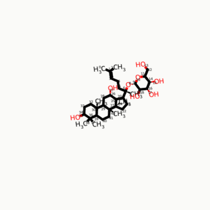 CC(C)=CCC[C@](C)(O[C@@H]1OC(CO)[C@@H](O)[C@@H](O)C1O)C1CC[C@]2(C)C1[C@H](O)CC1[C@@]3(C)CCC(O)C(C)(C)C3CC[C@]12C